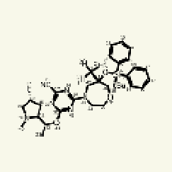 [2H]C([2H])([2H])C1(O[Si](c2ccccc2)(c2ccccc2)C(C)(C)C)COCCN(c2nc(C#N)nc(O[C@@H](C)[C@@H]3C[C@@H](F)CN3C)n2)C1